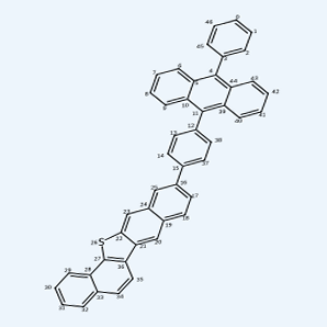 c1ccc(-c2c3ccccc3c(-c3ccc(-c4ccc5cc6c(cc5c4)sc4c5ccccc5ccc64)cc3)c3ccccc23)cc1